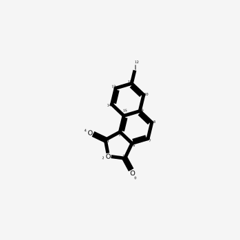 O=C1OC(=O)c2c1ccc1cc(I)ccc21